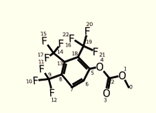 COC(=O)Oc1ccc(C(F)(F)F)c(C(F)(F)F)c1C(F)(F)F